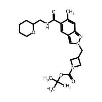 Cc1cc2nn(CC3CN(C(=O)OC(C)(C)C)C3)cc2cc1C(=O)NCC1CCCCO1